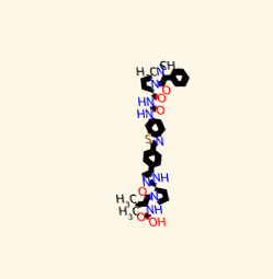 CC(C)[C@H](NC(=O)O)C(=O)N1CCC[C@H]1c1ncc(-c2ccc(-c3nc4ccc(NC(=O)NC(=O)[C@@H]5CCCN5C(=O)[C@@H](c5ccccc5)N(C)C)cc4s3)cc2)[nH]1